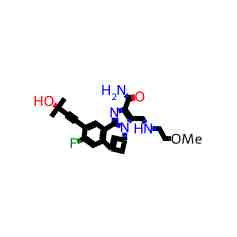 COCCNCc1c(C(N)=O)nc2n1C1C=C(C1)c1cc(F)c(C#CC(C)(C)O)cc1-2